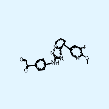 COc1ncc(-c2cccn3nc(Nc4ccc(C(=O)C=O)cc4)nc23)cc1F